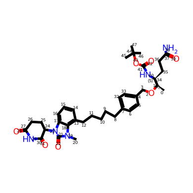 C[C@@H](OCc1ccc(CCCCCc2cccc3c2n(C)c(=O)n3C2CCC(=O)NC2=O)cc1)[C@H](CCC(N)=O)NC(=O)OC(C)(C)C